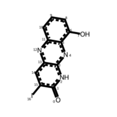 O=c1[nH]c2nc3c(O)cccc3nc2cc1I